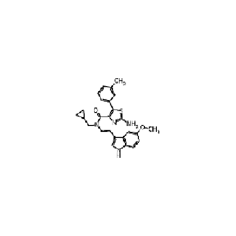 COc1ccc2[nH]cc(CCN(CC3CC3)C(=O)c3nc(N)sc3-c3cccc(C)c3)c2c1